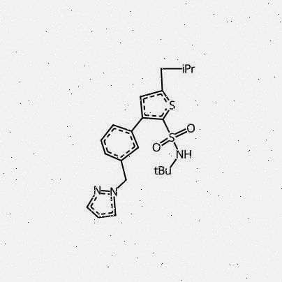 CC(C)Cc1cc(-c2cccc(Cn3cccn3)c2)c(S(=O)(=O)NC(C)(C)C)s1